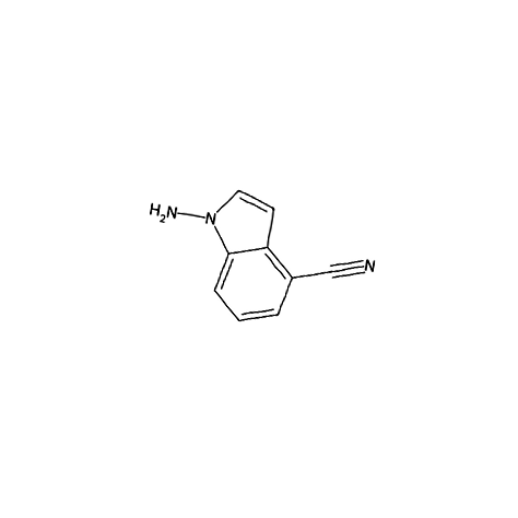 N#Cc1cccc2c1ccn2N